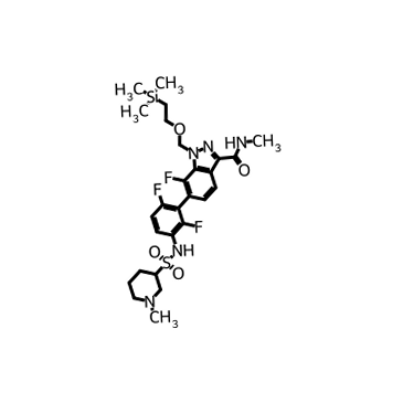 CNC(=O)c1nn(COCC[Si](C)(C)C)c2c(F)c(-c3c(F)ccc(NS(=O)(=O)C4CCCN(C)C4)c3F)ccc12